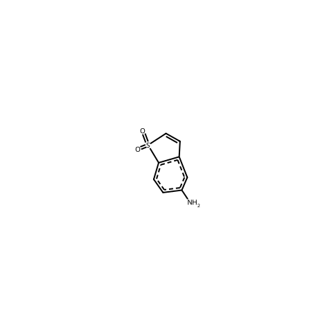 Nc1ccc2c(c1)C=CS2(=O)=O